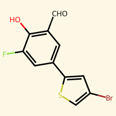 O=Cc1cc(-c2cc(Br)cs2)cc(F)c1O